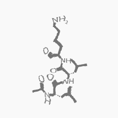 CC(=O)N[C@@H](CC(C)C)C(=O)N[C@@H](CC(C)C)C(=O)NC(C=O)CCCCN